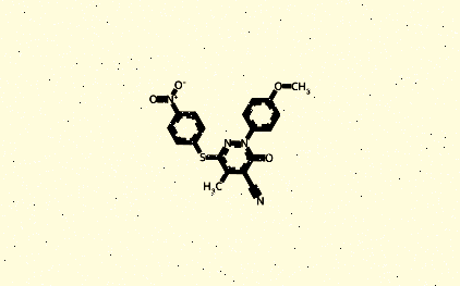 COc1ccc(-n2nc(Sc3ccc([N+](=O)[O-])cc3)c(C)c(C#N)c2=O)cc1